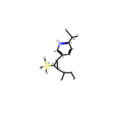 CCC(C)C1C(c2ccc(C(C)C)nc2)C1S(C)(C)C